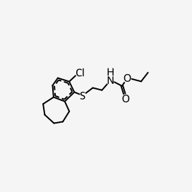 CCOC(=O)NCCSc1c(Cl)ccc2c1CCCCC2